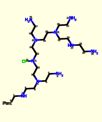 CCCC(C)CNCCN(CCN)CCN(Cl)CCN(CCN)CCN(CCN)CCNCCN